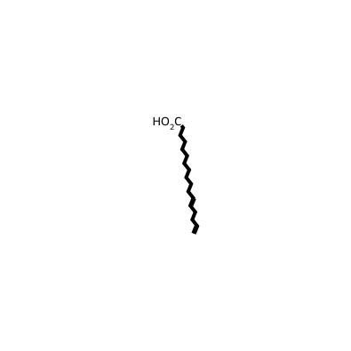 C=CCCC=CCCCCCCCCCCC(=O)O